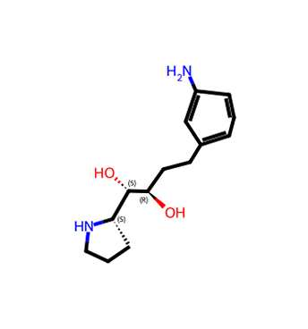 Nc1cccc(CC[C@@H](O)[C@@H](O)[C@@H]2CCCN2)c1